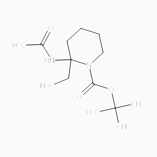 CCC1(NC(C)=O)CCCCN1C(=O)OC(C)(C)C